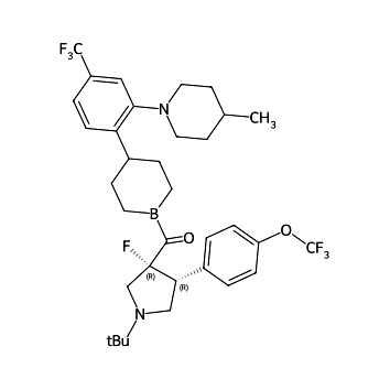 CC1CCN(c2cc(C(F)(F)F)ccc2C2CCB(C(=O)[C@]3(F)CN(C(C)(C)C)C[C@H]3c3ccc(OC(F)(F)F)cc3)CC2)CC1